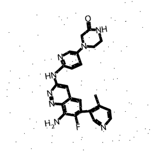 Cc1ccncc1-c1cc2cc(Nc3ccc(N4CCNC(=O)C4)cn3)nnc2c(N)c1F